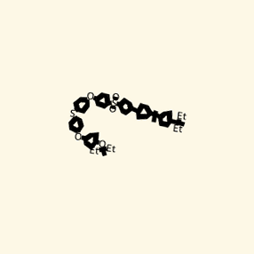 CCC(C)(CC)Oc1ccc(Oc2ccc(Sc3ccc(Oc4ccc(S(=O)(=O)c5ccc(-c6ccc(C(C)(C)c7ccc(C(C)(CC)CC)cc7)cc6)cc5)cc4)cc3)cc2)cc1